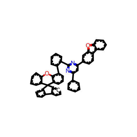 c1ccc(-c2cc(-c3ccc4c(c3)oc3ccccc34)nc(-c3ccccc3-c3cccc4c3Oc3ccccc3C43c4ccccc4-c4ccccc43)n2)cc1